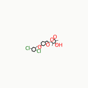 Cc1c(-c2cc3ccc(OCc4cc(Cl)ccc4Cl)cc3o2)oc(=O)c(C)c1O